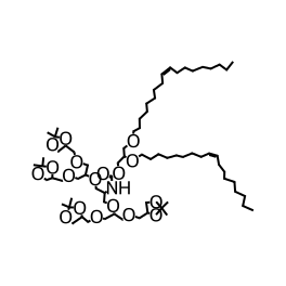 CCCCCCCC/C=C\CCCCCCCCOCC(COC(=O)NC(COC(COCC1COC(C)(C)O1)COCC1COC(C)(C)O1)COC(COCC1COC(C)(C)O1)COCC1COC(C)(C)O1)OCCCCCCCC/C=C\CCCCCCCC